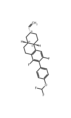 C=C[C@@H]1CC[C@@H]2c3cc(F)c(-c4ccc(OC(F)F)cc4)c(F)c3CC[C@@H]2C1